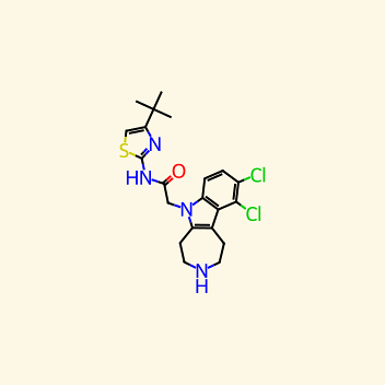 CC(C)(C)c1csc(NC(=O)Cn2c3c(c4c(Cl)c(Cl)ccc42)CCNCC3)n1